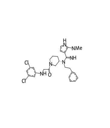 CNc1[nH]ccc1C(=N)N(CCc1ccccc1)[C@H]1CCCN(C(=O)CNc2cc(Cl)cc(Cl)c2)C1